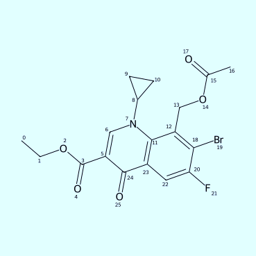 CCOC(=O)c1cn(C2CC2)c2c(COC(C)=O)c(Br)c(F)cc2c1=O